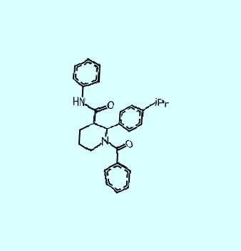 CC(C)c1ccc(C2C(C(=O)Nc3ccccc3)CCCN2C(=O)c2ccccc2)cc1